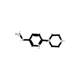 NSc1ccc(N2CCOCC2)nc1